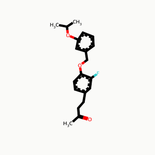 CC(=O)CCc1ccc(OCc2cccc(OC(C)C)c2)c(F)c1